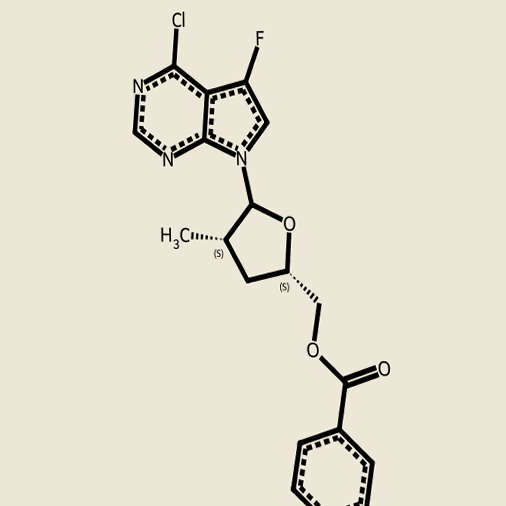 C[C@H]1C[C@@H](COC(=O)c2ccccc2)OC1n1cc(F)c2c(Cl)ncnc21